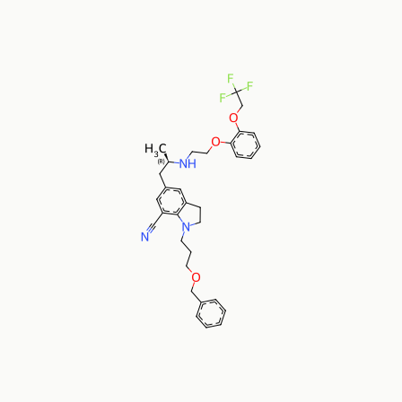 C[C@H](Cc1cc(C#N)c2c(c1)CCN2CCCOCc1ccccc1)NCCOc1ccccc1OCC(F)(F)F